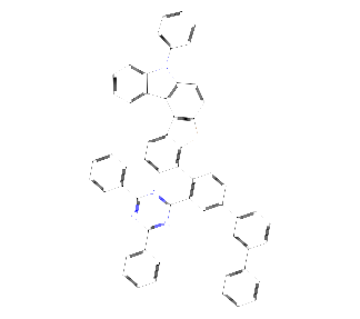 c1ccc(-c2cccc(-c3ccc(-c4cccc5c4sc4ccc6c(c7ccccc7n6-c6ccccc6)c45)c(-c4nc(-c5ccccc5)nc(-c5ccccc5)n4)c3)c2)cc1